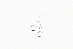 O=C(OC1CCCC1)C1OC1(c1ccccc1)c1ccccc1